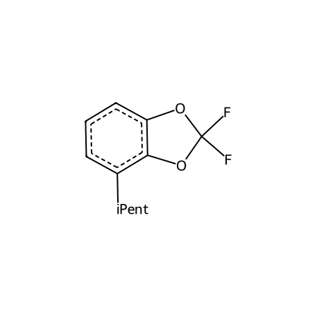 CCCC(C)c1cccc2c1OC(F)(F)O2